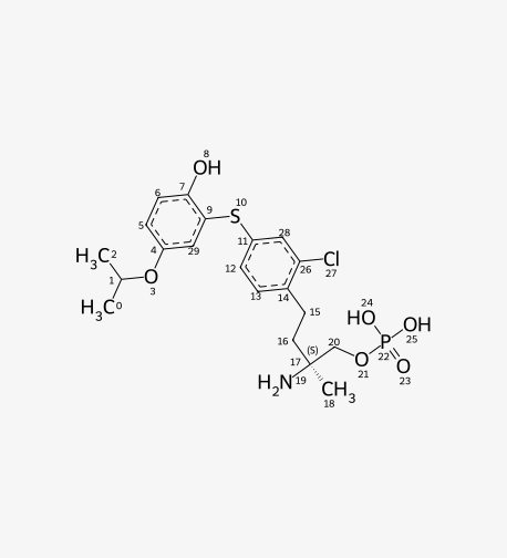 CC(C)Oc1ccc(O)c(Sc2ccc(CC[C@](C)(N)COP(=O)(O)O)c(Cl)c2)c1